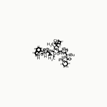 C=C[C@@H]1C[C@]1(NC(=O)[C@@H]1C[C@@]2(CN1C(=O)[C@@H](NC(=O)[C@@H](NC(=O)[C@@H]1CCCCN1C(C)C)C(C)(C)C)C(C)(C)C)C(C)(C)C21CCC1)C(=O)NS(=O)(=O)c1cccc2cc[nH]c12